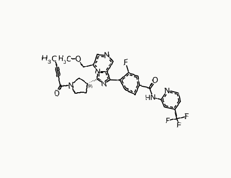 CC#CC(=O)N1CC[C@@H](c2nc(-c3ccc(C(=O)Nc4cc(C(F)(F)F)ccn4)cc3F)c3cncc(COC)n23)C1